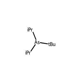 CC(C)[As](C(C)C)C(C)(C)C